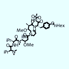 CCCCCCOc1ccc(C[C@H](NC(=O)[C@H](C)[C@@H](OC)[C@@H]2CCCN2C(=O)C[C@@H](OC)[C@H]([C@@H](C)CC)N(C)C(=O)[C@@H](NC(=O)C(C(C)C)N(C)C)C(C)C)C(=O)NS(C)(=O)=O)cc1